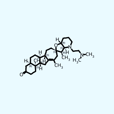 CC1=C2C[C@H]3[C@@H](CC[C@@H]4CC(=O)CC[C@@]43C)[C@@H]2CC[C@@]2(C1)O[C@@H]1CCCN(CCN(C)C)[C@H]1[C@H]2C